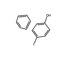 Oc1ccc(I)cc1.c1ccccc1